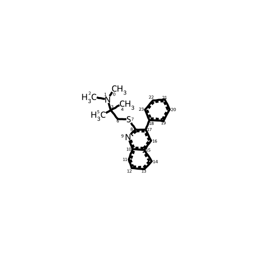 CN(C)C(C)(C)CSc1nc2ccccc2cc1-c1ccccc1